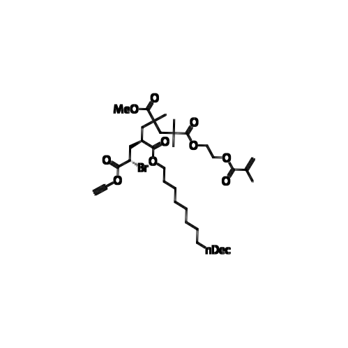 C#COC(=O)[C@@H](Br)C[C@@H](CC(C)(CC(C)(C)C(=O)OCCOC(=O)C(=C)C)C(=O)OC)C(=O)OCCCCCCCCCCCCCCCCCC